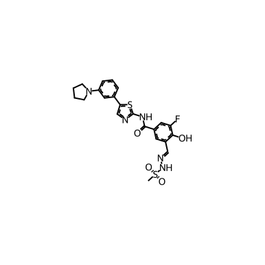 CS(=O)(=O)N/N=C/c1cc(C(=O)Nc2ncc(-c3cccc(N4CCCC4)c3)s2)cc(F)c1O